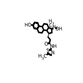 Cc1cnc(NC(=O)CC[C@@H]2CC(=NO)[C@@]3(C)CCC4c5ccc(O)cc5CCC4C23)s1